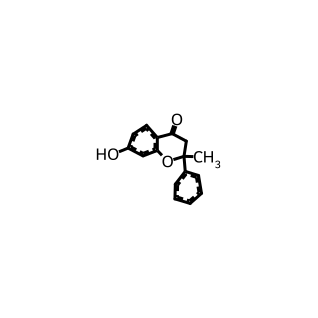 CC1(c2ccccc2)CC(=O)c2ccc(O)cc2O1